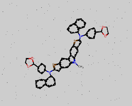 Cn1c2cc3cc(N(c4ccc(C5OCCO5)cc4)c4cccc5ccccc45)sc3cc2c2cc3sc(N(c4ccc(C5OCCO5)cc4)c4cccc5ccccc45)cc3cc21